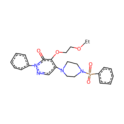 CCOCCOc1c(N2CCN(S(=O)(=O)c3ccccc3)CC2)cnn(-c2ccccc2)c1=O